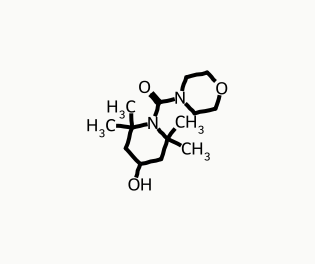 CC1(C)CC(O)CC(C)(C)N1C(=O)N1CCOCC1